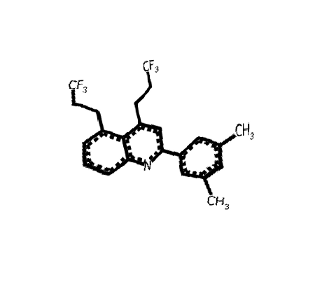 Cc1cc(C)cc(-c2cc(CCC(F)(F)F)c3c(CCC(F)(F)F)cccc3n2)c1